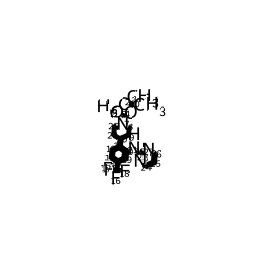 CC(C)(C)OC(=O)N1CC=C(c2ccc(C(F)(F)F)cc2Nc2ncccn2)CC1